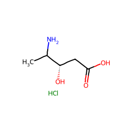 CC(N)[C@@H](O)CC(=O)O.Cl